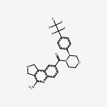 Nc1nc2ccc(C(=O)N3CCOC[C@@H]3c3ccc(C(F)(F)C(F)(F)F)cc3)cc2c2c1COC2